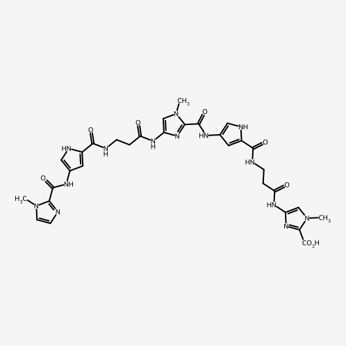 Cn1cc(NC(=O)CCNC(=O)c2cc(NC(=O)c3nc(NC(=O)CCNC(=O)c4cc(NC(=O)c5nccn5C)c[nH]4)cn3C)c[nH]2)nc1C(=O)O